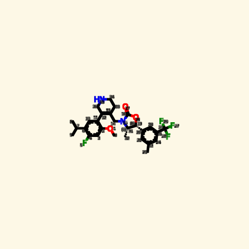 COc1cc(F)c(C(C)C)cc1C1=C(CN2C(=O)O[C@H](c3cc(C)cc(C(F)(F)F)c3)[C@@H]2C)CCNC1